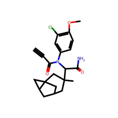 C#CC(=O)N(c1ccc(OC)c(Cl)c1)C(C(N)=O)C1(C)CC2CC3CC3(C2)C1